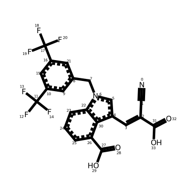 N#C/C(=C\c1cn(Cc2cc(C(F)(F)F)cc(C(F)(F)F)c2)c2cccc(C(=O)O)c12)C(=O)O